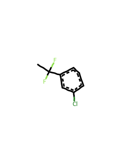 CC(F)(F)c1cccc(Cl)c1